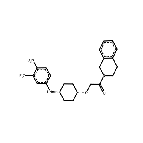 O=C(CO[C@H]1CC[C@H](Nc2ccc([N+](=O)[O-])c(C(F)(F)F)c2)CC1)N1CCc2ccccc2C1